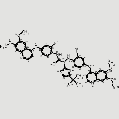 COc1cc2nccc(Oc3ccc(NC(=O)N(Nc4ccc(Oc5ccnc6cc(OC)c(OC)cc56)cc4F)c4nc(C(C)(C)C)cs4)c(F)c3)c2cc1OC